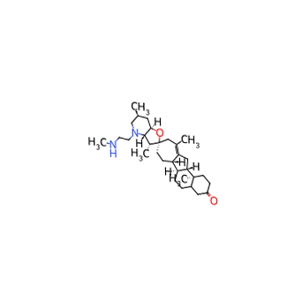 CNCCN1C[C@@H](C)C[C@H]2O[C@]3(CC[C@@H]4C(=C(C)C3)C[C@H]3[C@H]4CCC4CC(=O)CC[C@@]43C)[C@H](C)[C@@H]21